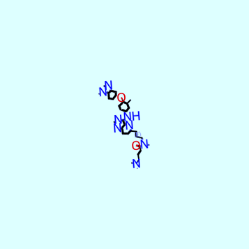 Cc1cc(Nc2ncnc3ccc(/C=C/CN(C)C(=O)C=CCN(C)C)nc23)ccc1Oc1ccc2c(c1)ncn2C